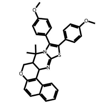 COc1ccc(C2=C(c3ccc(OC)cc3)N3C(=NC4c5c(ccc6ccccc56)OCC4C3(C)C)S2)cc1